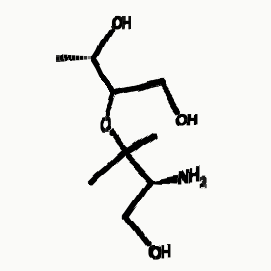 C[C@H](O)C(CO)OC(C)(C)[C@@H](N)CO